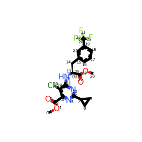 COC(=O)c1nc(C2CC2)nc(N[C@@H](Cc2cccc(C(F)(F)F)c2)C(=O)OC)c1Cl